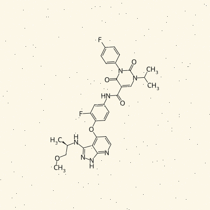 COC[C@@H](C)Nc1n[nH]c2nccc(Oc3ccc(NC(=O)c4cn(C(C)C)c(=O)n(-c5ccc(F)cc5)c4=O)cc3F)c12